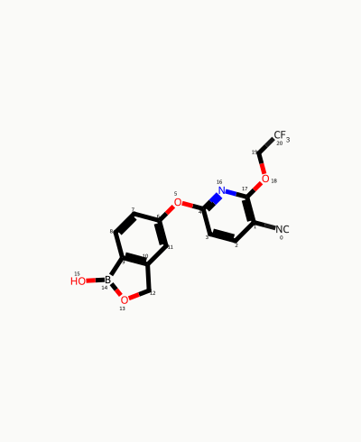 [C-]#[N+]c1ccc(Oc2ccc3c(c2)COB3O)nc1OCC(F)(F)F